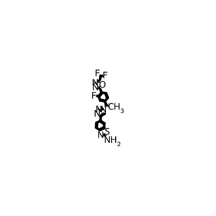 C[C@H](c1ccc(-c2nnc(C(F)F)o2)c(F)c1)n1cc(-c2ccc3nc(N)sc3c2)nn1